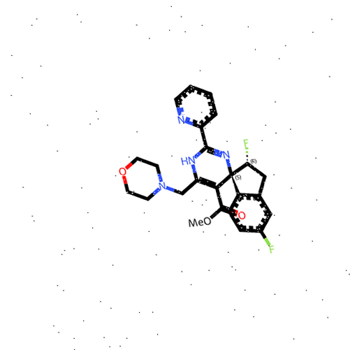 COC(=O)C1=C(CN2CCOCC2)NC(c2ccccn2)=N[C@@]12c1ccc(F)cc1C[C@H]2F